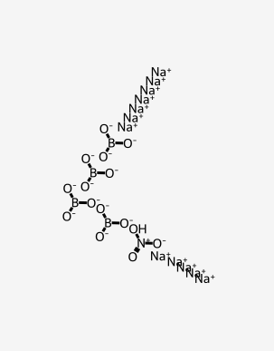 O=[N+]([O-])O.[Na+].[Na+].[Na+].[Na+].[Na+].[Na+].[Na+].[Na+].[Na+].[Na+].[Na+].[Na+].[O-]B([O-])[O-].[O-]B([O-])[O-].[O-]B([O-])[O-].[O-]B([O-])[O-]